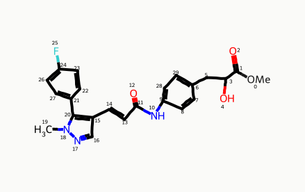 COC(=O)C(O)Cc1ccc(NC(=O)/C=C/c2cnn(C)c2-c2ccc(F)cc2)cc1